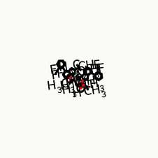 CCC(=O)N[B](NC(=O)CC)[Zr]([Cl])([Cl])([CH]1C(C(C)(C)C)=Cc2c(-c3ccccc3C(F)(F)F)cccc21)[CH]1C(C(C)(C)C)=Cc2c(-c3ccccc3C(F)(F)F)cccc21